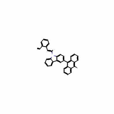 C=Cc1ccccc1/C=C(\C)n1c2ccccc2c2cc(-c3c4ccccc4c(C)c4ccccc34)ccc21